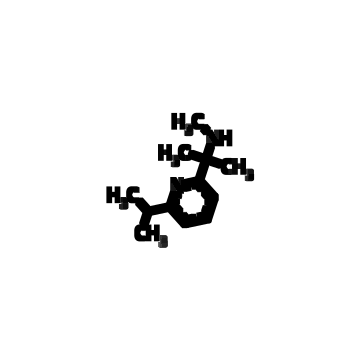 CNC(C)(C)c1cccc(C(C)C)n1